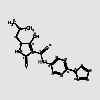 CC(C)CC1NC(=O)C(C(=O)Nc2ccc(-n3cccn3)cc2)=C1O